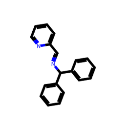 C(=NC(c1ccccc1)c1ccccc1)c1ccccn1